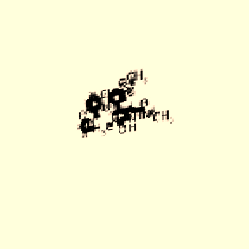 CCNC(=O)c1cc2c(-c3cc(S(=O)(=O)CC)ccc3Oc3c(C)cccc3CN3CCCC3=O)cn(C)c(=O)c2[nH]1